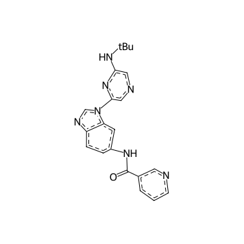 CC(C)(C)Nc1cncc(-n2cnc3ccc(NC(=O)c4cccnc4)cc32)n1